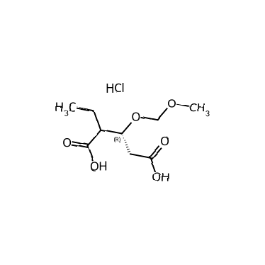 CCC(C(=O)O)[C@@H](CC(=O)O)OCOC.Cl